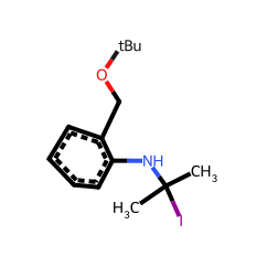 CC(C)(I)Nc1ccccc1COC(C)(C)C